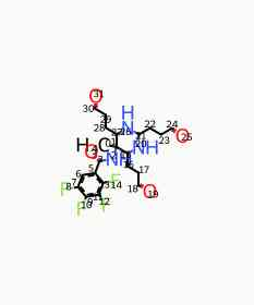 CC1(NC(=O)c2cc(F)c(F)c(F)c2F)C(CCC=O)NC(CCC=O)NC1CCC=O